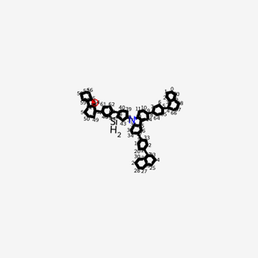 c1ccc2c(-c3ccc(-c4ccc5c(c4)c4cc(-c6ccc(-c7cccc8ccccc78)cc6)ccc4n5-c4ccc5c(c4)[SiH2]c4cc(-c6cccc7c6oc6ccccc67)ccc4-5)cc3)cccc2c1